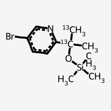 C[13C]([13CH3])(O[Si](C)(C)C)c1ccc(Br)cn1